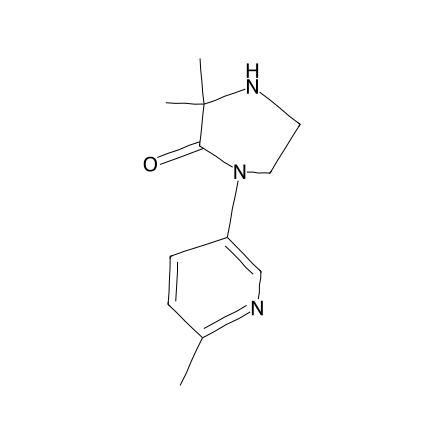 Cc1ccc(N2CCNC(C)(C)C2=O)cn1